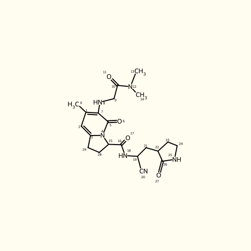 Cc1cc2n(c(=O)c1NCC(=O)N(C)C)C(C(=O)NC(C#N)CC1CCNC1=O)CC2